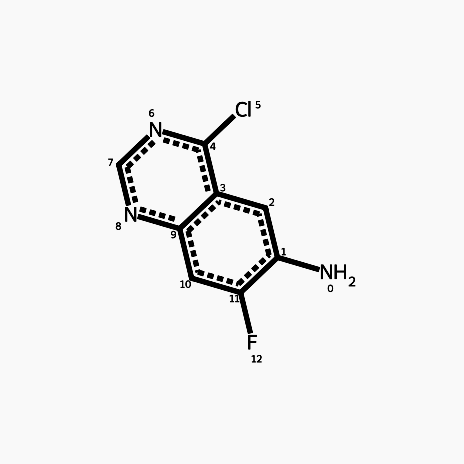 Nc1cc2c(Cl)ncnc2cc1F